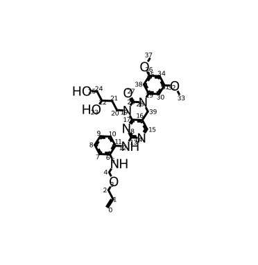 C=CCOCNc1ccccc1Nc1ncc2c(n1)N(CCC(O)CO)C(=O)N(c1cc(OC)cc(OC)c1)C2